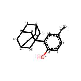 CC(C)c1ccc(O)c(C23CC4CC(CC(C4)C2)C3)c1